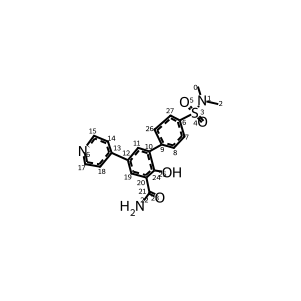 CN(C)S(=O)(=O)c1ccc(-c2cc(-c3ccncc3)cc(C(N)=O)c2O)cc1